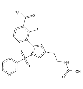 CC(=O)c1cccc(-c2cc(CCNC(=O)O)cn2S(=O)(=O)c2cccnc2)c1F